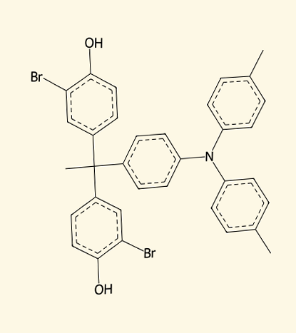 Cc1ccc(N(c2ccc(C)cc2)c2ccc(C(C)(c3ccc(O)c(Br)c3)c3ccc(O)c(Br)c3)cc2)cc1